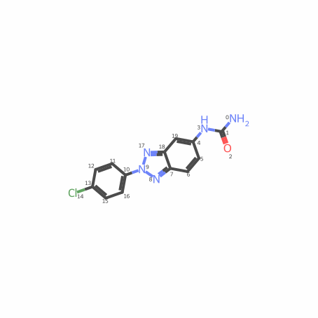 NC(=O)Nc1ccc2nn(-c3ccc(Cl)cc3)nc2c1